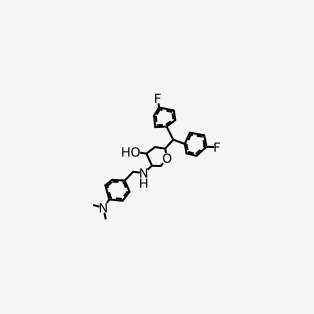 CN(C)c1ccc(CNC2COC(C(c3ccc(F)cc3)c3ccc(F)cc3)CC2O)cc1